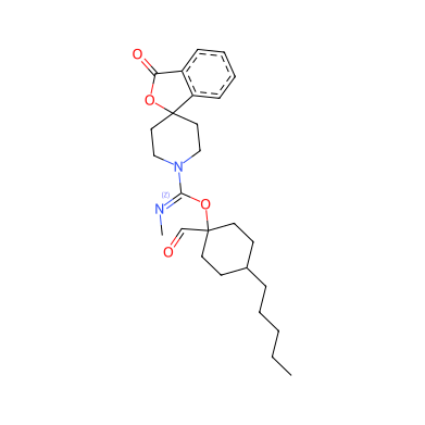 CCCCCC1CCC(C=O)(O/C(=N\C)N2CCC3(CC2)OC(=O)c2ccccc23)CC1